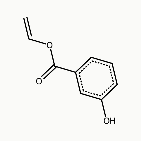 C=COC(=O)c1cccc(O)c1